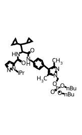 CCCCOP(=O)(OCCCC)OCn1nc(C)c(-c2ccc(NC(=O)C(NC(=O)c3ccnn3C(C)C)C(C3CC3)C3CC3)cc2)c1C